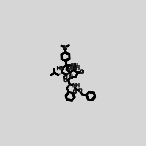 CC(C)C[C@H](NC(=O)c1ccc(N(C)C)cc1)C(=O)[C@@]12CCN[C@@H]1C(=O)CN2C(=O)[C@H](Cc1ccccc1)NC(=O)OCc1ccccc1